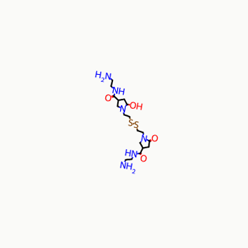 NCCNC(=O)C1CC(=O)N(CCSSCCN2CC(C(=O)NCCN)CC2O)C1